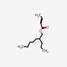 CC=CC(=O)OCC(CCC)CCCCC